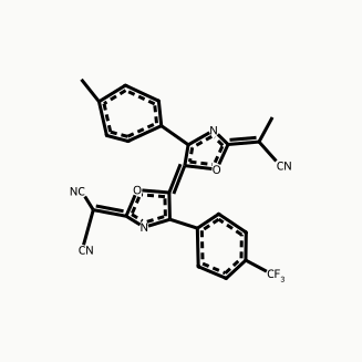 C/C(C#N)=c1\nc(-c2ccc(C)cc2)/c(=c2\oc(=C(C#N)C#N)nc2-c2ccc(C(F)(F)F)cc2)o1